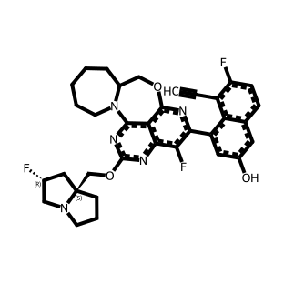 C#Cc1c(F)ccc2cc(O)cc(-c3nc4c5c(nc(OC[C@@]67CCCN6C[C@H](F)C7)nc5c3F)N3CCCCCC3CO4)c12